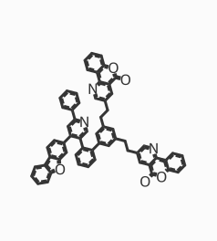 O=c1oc2ccccc2c2ncc(CCc3cc(CCc4cnc5c(c4)c(=O)oc4ccccc45)cc(-c4ccccc4-c4cnc(-c5ccccc5)cc4-c4ccc5c(c4)oc4ccccc45)c3)cc12